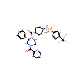 O=C(c1ccccn1)N1CCN(C(=O)[C@H]2CC[C@H](NS(=O)(=O)c3ccc(C(F)(F)F)cc3)CC2)[C@@H](c2ccccc2)C1